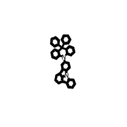 c1ccc(C2(c3ccccc3)c3ccccc3N(c3ccc4c(c3)c3cccc5c6ccccc6n4c53)c3ccccc32)cc1